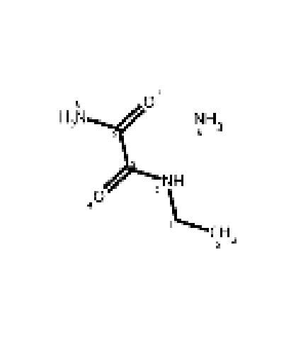 CCNC(=O)C(N)=O.N